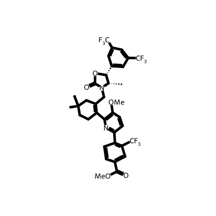 COC(=O)c1ccc(-c2ccc(OC)c(C3=C(CN4C(=O)O[C@H](c5cc(C(F)(F)F)cc(C(F)(F)F)c5)[C@@H]4C)CC(C)(C)CC3)n2)c(C(F)(F)F)c1